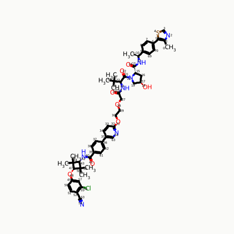 Cc1ncsc1-c1ccc([C@H](C)NC(=O)[C@@H]2C[C@@H](O)CN2C(=O)C(NC(=O)COCCOc2ccc(-c3ccc(C(=O)N[C@H]4C(C)(C)[C@H](Oc5ccc(C#N)c(Cl)c5)C4(C)C)cc3)cn2)C(C)(C)C)cc1